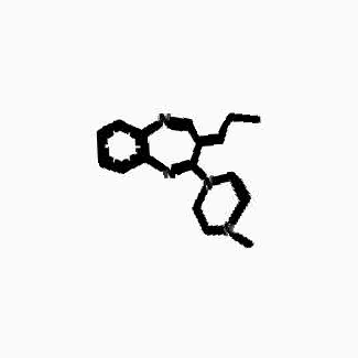 CC/C=C1\C=Nc2ccccc2N=C1N1CCN(C)CC1